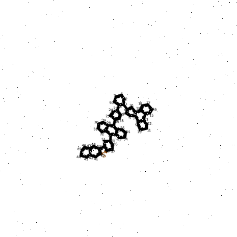 c1ccc(-c2ccc3c4ccccc4c4ccccc4c3c2)c(-c2ccc(-c3c4ccccc4c(-c4ccc5sc6cc7ccccc7cc6c5c4)c4ccccc34)cc2)c1